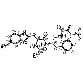 C=C(CN(C)C)C(=O)NC[C@H](Cc1ccccc1)NC(=O)[C@H](Cc1nc2ccc(C(C)C)cc2s1)NC(=O)CC